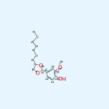 CCCCCCCC1COC(c2ccc(O)c(OC)c2)O1